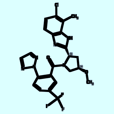 CO[C@@H]1C[C@@H](c2nc3ccc(Cl)c(C)c3[nH]2)N(C(=O)c2cc(C(F)(F)F)ccc2-n2nccn2)C1